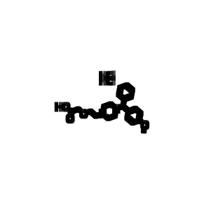 COc1ccc(C(c2ccccc2)N2CCN(CCOCC(=O)O)CC2)cc1.Cl.Cl